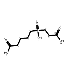 O=C(O)CCCCP(=O)(O)CCC(=O)O